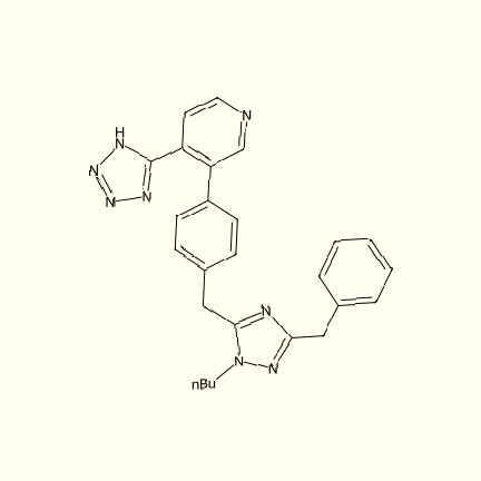 CCCCn1nc(Cc2ccccc2)nc1Cc1ccc(-c2cnccc2-c2nnn[nH]2)cc1